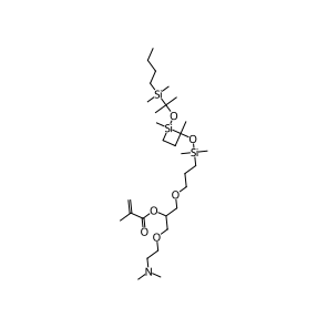 C=C(C)C(=O)OC(COCCC[Si](C)(C)OC1(C)CC[Si]1(C)OC(C)(C)[Si](C)(C)CCCC)COCCN(C)C